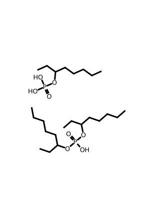 CCCCCC(CC)OP(=O)(O)O.CCCCCC(CC)OP(=O)(O)OC(CC)CCCCC